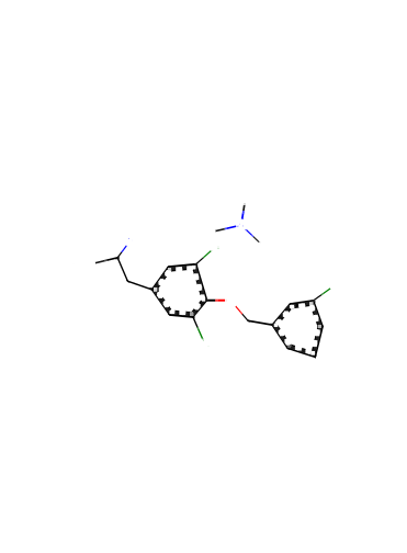 CCN(CC)CC.NC(Cc1cc(Br)c(OCc2cccc(Cl)c2)c(Br)c1)C(=O)O